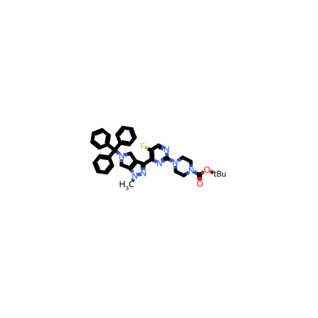 Cn1nc(-c2nc(N3CCN(C(=O)OC(C)(C)C)CC3)ncc2F)c2c1CN(C(c1ccccc1)(c1ccccc1)c1ccccc1)C2